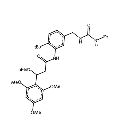 CCCCCC(CC(=O)Nc1cc(CNC(=O)NC(C)C)ccc1C(C)(C)C)c1c(OC)cc(OC)cc1OC